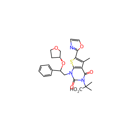 Cc1c(-c2ncco2)sc2c1c(=O)n(C(C)(C)C(=O)O)c(=O)n2CC(O[C@H]1CCOC1)c1ccccc1